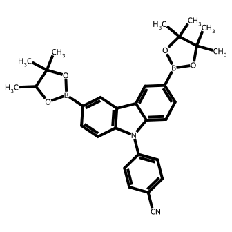 CC1OB(c2ccc3c(c2)c2cc(B4OC(C)(C)C(C)(C)O4)ccc2n3-c2ccc(C#N)cc2)OC1(C)C